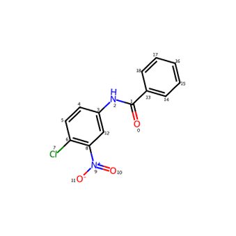 O=C(Nc1ccc(Cl)c([N+](=O)[O-])c1)c1ccccc1